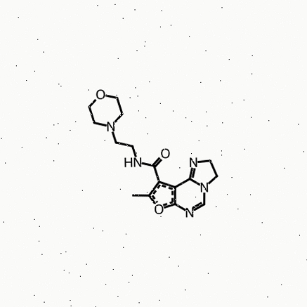 Cc1oc2c(c1C(=O)NCCN1CCOCC1)C1=NCCN1C=N2